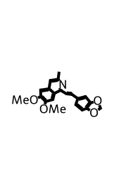 COc1cc2cc(C)nc(/C=C/c3ccc4c(c3)OCO4)c2cc1OC